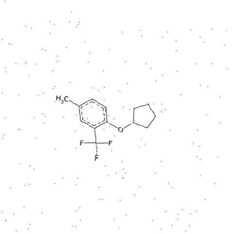 Cc1ccc(OC2CCCC2)c(C(F)(F)F)c1